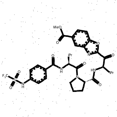 COC(=O)c1ccc2oc(C(=O)C(NC(=O)[C@@H]3CCCN3C(=O)[C@@H](NC(=O)c3ccc(NS(=O)(=O)C(F)(F)F)cc3)C(C)C)C(C)C)nc2c1